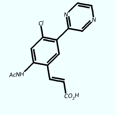 CC(=O)Nc1cc(Cl)c(-c2cnccn2)cc1C=CC(=O)O